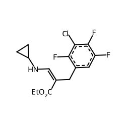 CCOC(=O)C(=CNC1CC1)Cc1cc(F)c(F)c(Cl)c1F